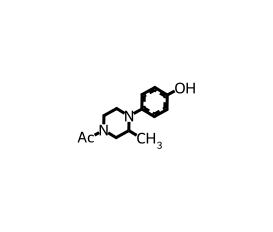 CC(=O)N1CCN(c2ccc(O)cc2)C(C)C1